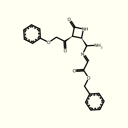 NC(N=CC(=O)OCc1ccccc1)[C@@H]1NC(=O)[C@@H]1C(=O)COc1ccccc1